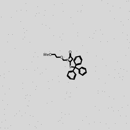 COCCOCN1C(=O)CC1SC(c1ccccc1)(c1ccccc1)c1ccccc1